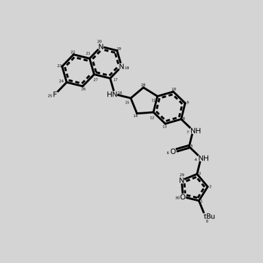 CC(C)(C)c1cc(NC(=O)Nc2ccc3c(c2)CC(Nc2ncnc4ccc(F)cc24)C3)no1